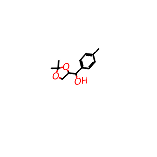 Cc1ccc(C(O)C2COC(C)(C)O2)cc1